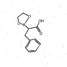 O=C(O)C(Cc1ccccc1)B1OCCO1